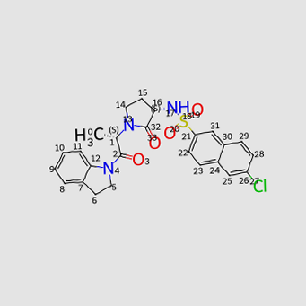 C[C@@H](C(=O)N1CCc2ccccc21)N1CC[C@H](NS(=O)(=O)c2ccc3cc(Cl)ccc3c2)C1=O